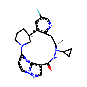 C[C@H]1Cc2ncc(F)cc2[C@@H]2CCCN(C2)c2ccn3ncc(c3n2)C(=O)NN1C1CC1